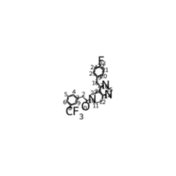 O=C(Cc1cccc(C(F)(F)F)c1)N1CCc2ncnc(Cc3ccc(F)cc3)c2C1